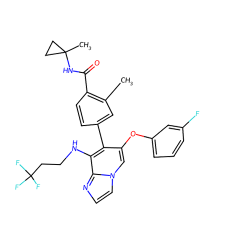 Cc1cc(-c2c(Oc3cccc(F)c3)cn3ccnc3c2NCCC(F)(F)F)ccc1C(=O)NC1(C)CC1